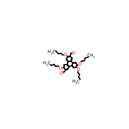 CCCCCOc1cc2c(cc1C=O)c1cc(OCCCCC)c(OCCCCC)cc1c1cc(C=O)c(OCCCCC)cc12